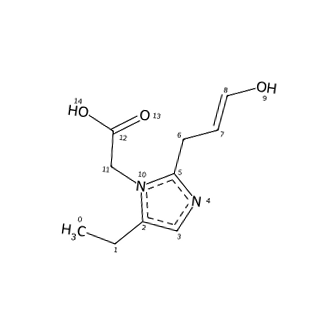 CCc1cnc(CC=CO)n1CC(=O)O